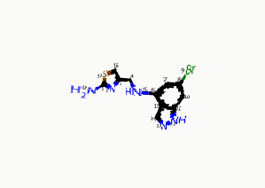 Nc1nc(CNc2cc(Br)cc3[nH]ncc23)cs1